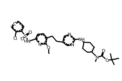 COc1nc(NS(=O)(=O)c2ccccc2Cl)ccc1CCc1cnc(NC2CCC(N(C)C(=O)OC(C)(C)C)CC2)nc1